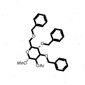 CO[C@@H]1OC(COCc2ccccc2)[C@H](OCc2ccccc2)C(OCc2ccccc2)C1OC(C)=O